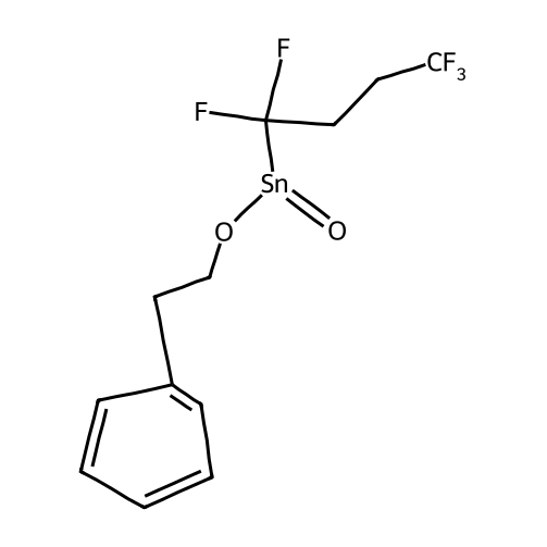 [O]=[Sn]([O]CCc1ccccc1)[C](F)(F)CCC(F)(F)F